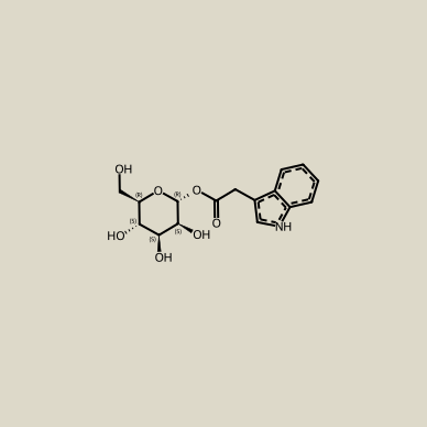 O=C(Cc1c[nH]c2ccccc12)O[C@H]1O[C@H](CO)[C@@H](O)[C@H](O)[C@@H]1O